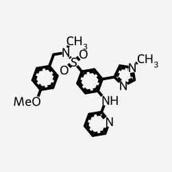 COc1ccc(CN(C)S(=O)(=O)c2ccc(Nc3ccccn3)c(-c3cn(C)cn3)c2)cc1